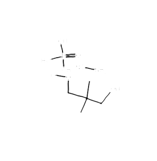 CC(C)(CO)COCl.N#CN.O=P(O)(O)O